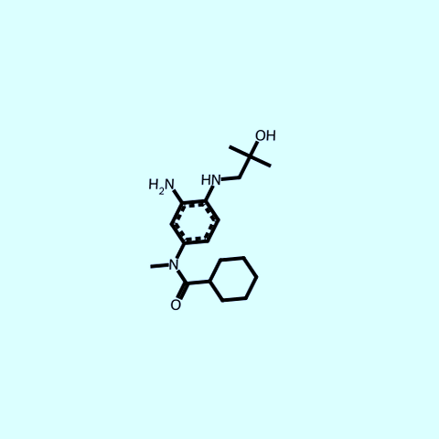 CN(C(=O)C1CCCCC1)c1ccc(NCC(C)(C)O)c(N)c1